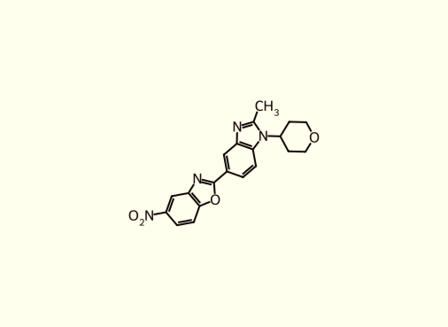 Cc1nc2cc(-c3nc4cc([N+](=O)[O-])ccc4o3)ccc2n1C1CCOCC1